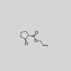 C=CCOC(=O)[C@@H]1CCCC1=O